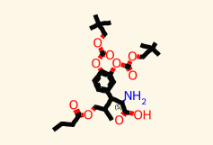 CCCC(=O)OCC(C)C(c1ccc(OC(=O)OCC(C)(C)C)c(OC(=O)OCC(C)(C)C)c1)[C@H](N)C(=O)O